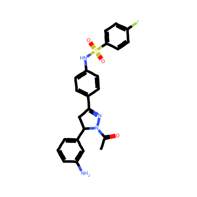 CC(=O)N1N=C(c2ccc(NS(=O)(=O)c3ccc(F)cc3)cc2)CC1c1cccc(N)c1